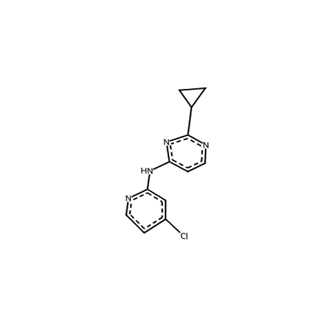 Clc1ccnc(Nc2ccnc(C3CC3)n2)c1